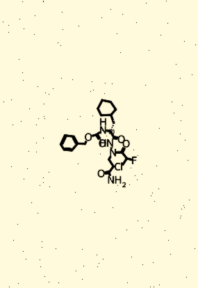 NC(=O)CCN(NC(=O)[C@@H](CC1CCCCC1)NC(=O)OCc1ccccc1)C(=O)C(F)Cl